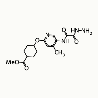 COC(=O)C1CCC(Oc2cc(C)c(NC(=O)C(=O)NN)cn2)CC1